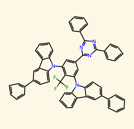 FC(F)(F)c1c(-n2c3ccccc3c3cc(-c4ccccc4)ccc32)cc(-c2nc(-c3ccccc3)nc(-c3ccccc3)n2)cc1-n1c2ccccc2c2cc(-c3ccccc3)ccc21